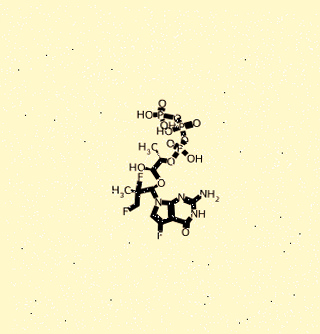 C[C@H](OP(=O)(O)OP(=O)(O)OP(=O)(O)O)[C@H](O)O[C@@H](n1cc(F)c2c(=O)[nH]c(N)nc21)[C@@](C)(F)CF